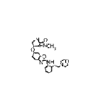 CNC(=O)c1cc(Oc2ccc3nc(Nc4ccccc4CCN4CCOCC4)oc3c2)ccn1